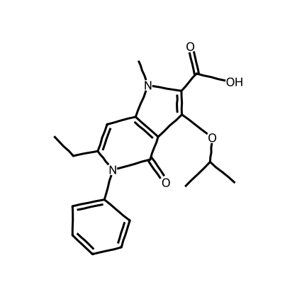 CCc1cc2c(c(OC(C)C)c(C(=O)O)n2C)c(=O)n1-c1ccccc1